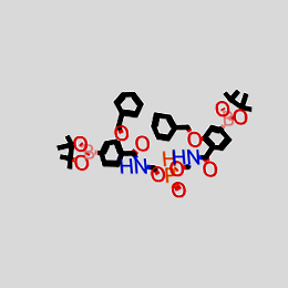 CC1(C)OB(c2ccc(C(=O)NCO[PH](=O)OCNC(=O)c3ccc(B4OC(C)(C)C(C)(C)O4)cc3OCc3ccccc3)c(OCc3ccccc3)c2)OC1(C)C